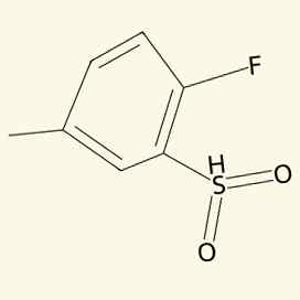 Cc1ccc(F)c([SH](=O)=O)c1